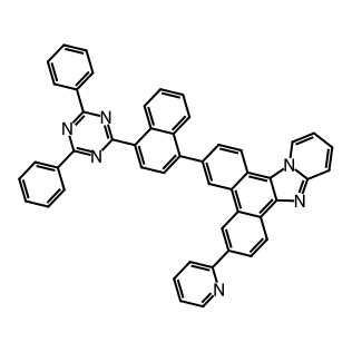 c1ccc(-c2nc(-c3ccccc3)nc(-c3ccc(-c4ccc5c(c4)c4cc(-c6ccccn6)ccc4c4nc6ccccn6c54)c4ccccc34)n2)cc1